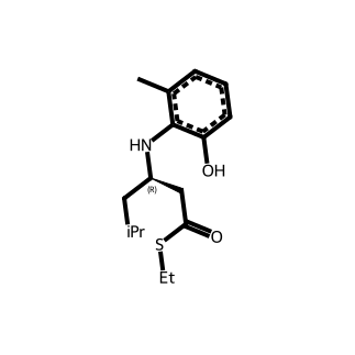 CCSC(=O)C[C@@H](CC(C)C)Nc1c(C)cccc1O